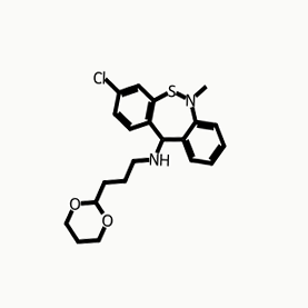 CN1Sc2cc(Cl)ccc2C(NCCCC2OCCCO2)c2ccccc21